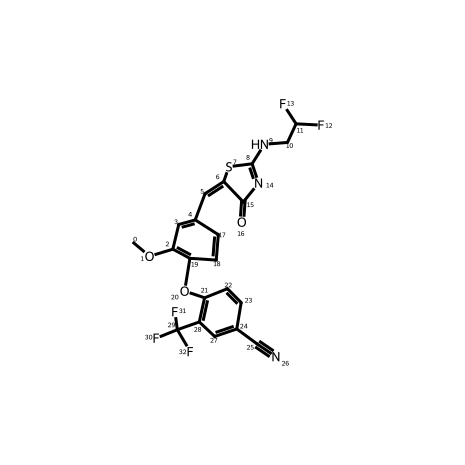 COc1cc(C=C2SC(NCC(F)F)=NC2=O)ccc1Oc1ccc(C#N)cc1C(F)(F)F